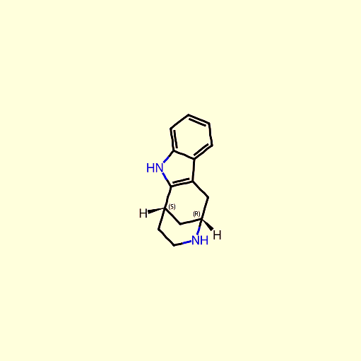 c1ccc2c3c([nH]c2c1)[C@H]1CCN[C@@H](C3)C1